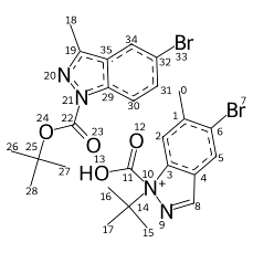 Cc1cc2c(cc1Br)C=N[N+]2(C(=O)O)C(C)(C)C.Cc1nn(C(=O)OC(C)(C)C)c2ccc(Br)cc12